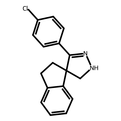 Clc1ccc(C2=NNCC23CCc2ccccc23)cc1